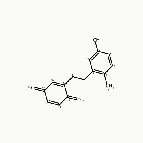 Cc1ccc(C)c(CCC2=CC(=O)C=CC2=O)c1